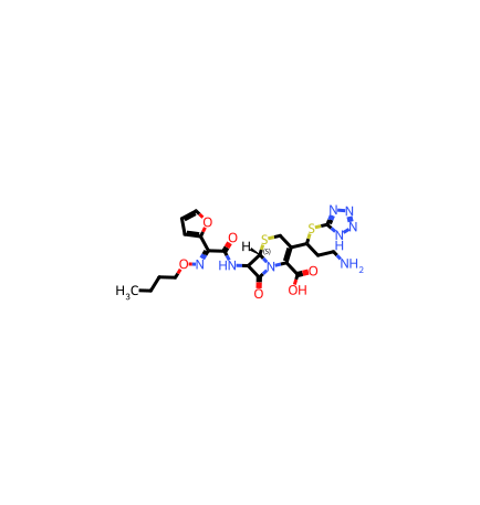 CCCCON=C(C(=O)NC1C(=O)N2C(C(=O)O)=C(C(CCN)Sc3nnn[nH]3)CS[C@@H]12)c1ccco1